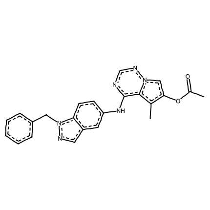 CC(=O)Oc1cn2ncnc(Nc3ccc4c(cnn4Cc4ccccc4)c3)c2c1C